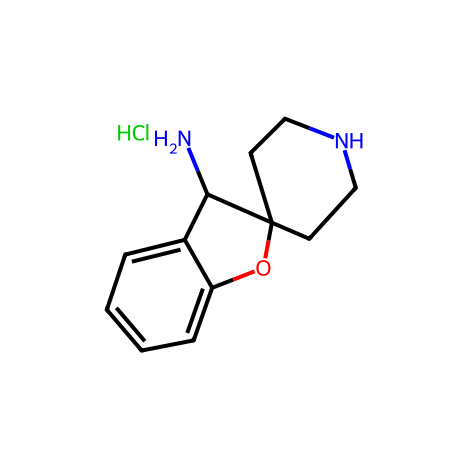 Cl.NC1c2ccccc2OC12CCNCC2